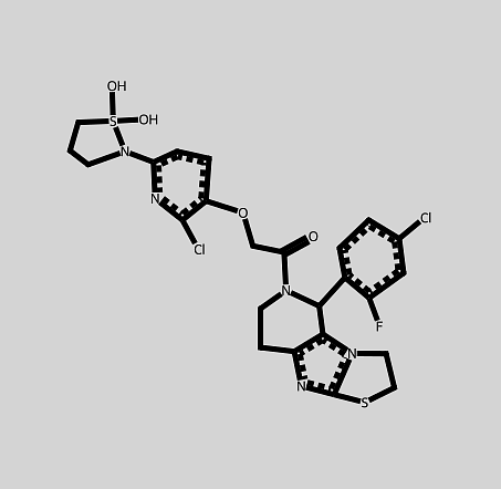 O=C(COc1ccc(N2CCCS2(O)O)nc1Cl)N1CCc2nc3n(c2C1c1ccc(Cl)cc1F)CCS3